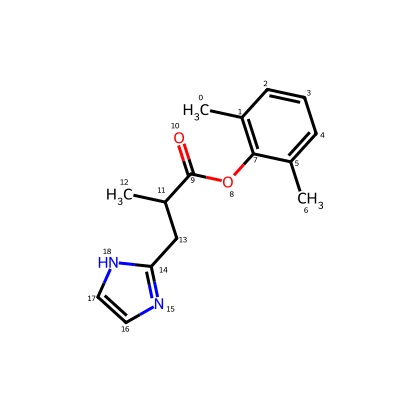 Cc1cccc(C)c1OC(=O)C(C)Cc1ncc[nH]1